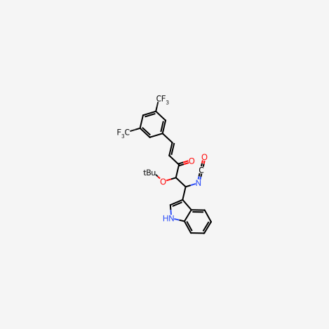 CC(C)(C)OC(C(=O)C=Cc1cc(C(F)(F)F)cc(C(F)(F)F)c1)C(N=C=O)c1c[nH]c2ccccc12